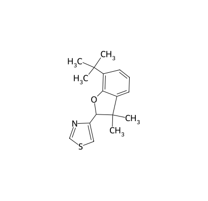 CC(C)(C)c1cccc2c1OC(c1cscn1)C2(C)C